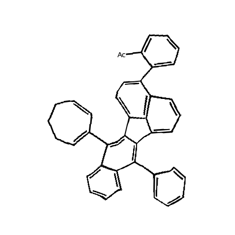 CC(=O)c1ccccc1-c1ccc2c3c(cccc13)-c1c-2c(C2=CCCCC=C2)c2ccccc2c1-c1ccccc1